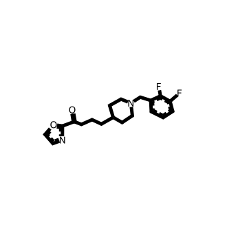 O=C(CCCC1CCN(Cc2cccc(F)c2F)CC1)c1ncco1